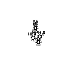 CN(NC1CCCC(n2c3ccccc3c3cc(F)ccc32)C1)SOc1ccc(OC(F)(F)F)cc1.S